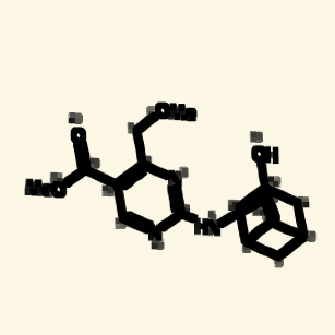 COCc1nc(NC2=C3C4CC3CC(O)(C2)C4)ncc1C(=O)OC